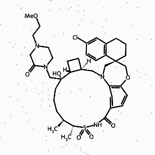 COCCN1CCN(C[C@]2(O)CCC[C@H](C)[C@@H](C)S(=O)(=O)NC(=O)c3ccc4c(c3)N(C[C@@H]3CC[C@H]32)C[C@@]2(CCCc3cc(Cl)ccc32)CO4)C(=O)C1